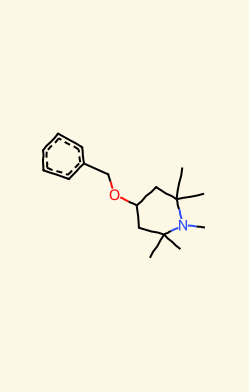 CN1C(C)(C)CC(OCc2ccccc2)CC1(C)C